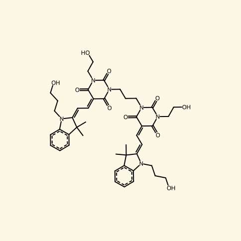 CC1(C)/C(=C\C=C2/C(=O)N(CCO)C(=O)N(CCCN3C(=O)/C(=C/C=C4/N(CCCO)c5ccccc5C4(C)C)C(=O)N(CCO)C3=O)C2=O)N(CCCO)c2ccccc21